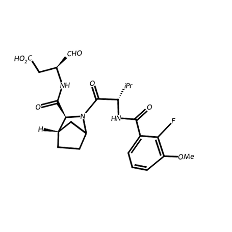 COc1cccc(C(=O)N[C@H](C(=O)N2C3CC[C@@H](C3)[C@H]2C(=O)N[C@H](C=O)CC(=O)O)C(C)C)c1F